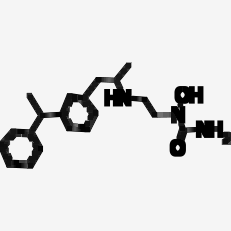 CC(Cc1cccc(C(C)c2ccccc2)c1)NCCN(O)C(N)=O